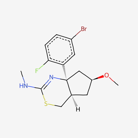 CNC1=N[C@@]2(c3cc(Br)ccc3F)C[C@@H](OC)C[C@H]2CS1